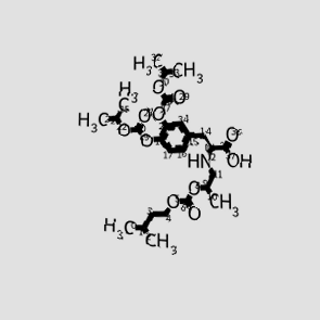 CC(C)CCOC(=O)OC(C)CN[C@@H](Cc1ccc(OC(=O)OC(C)C)c(OC(=O)OC(C)C)c1)C(=O)O